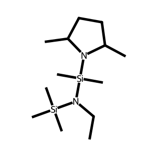 CCN([Si](C)(C)C)[Si](C)(C)N1C(C)CCC1C